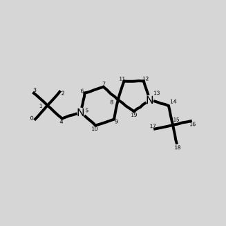 CC(C)(C)CN1CCC2(CC1)CCN(CC(C)(C)C)C2